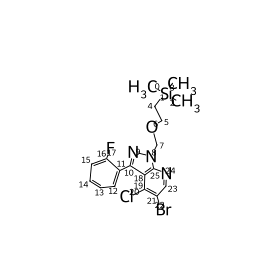 C[Si](C)(C)CCOCn1nc(-c2ccccc2F)c2c(Cl)c(Br)cnc21